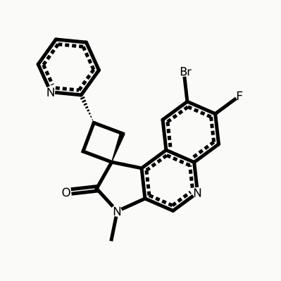 CN1c2cnc3cc(F)c(Br)cc3c2[C@]2(C[C@@H](c3ccccn3)C2)C1=O